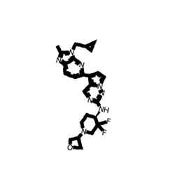 Cc1nc2ccc(-c3ccn4nc(N[C@@H]5CCN(C6COC6)CC5(F)F)ncc34)nc2n1CC1CC1